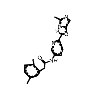 Cc1ccc(C)c(CC(=O)Nc2ccc(-c3nn4c(C)ncc4o3)nc2)c1